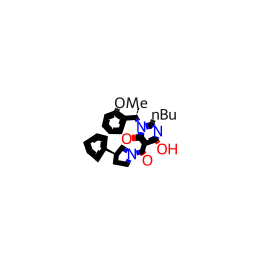 CCCCc1nc(O)c(C(=O)N2CC[C@@H](c3ccccc3)C2)c(=O)n1[C@@H](C)c1ccccc1OC